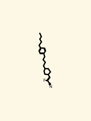 CCCCCc1ccc(CCCCC2CCC(C=C(F)C#N)CC2)cc1